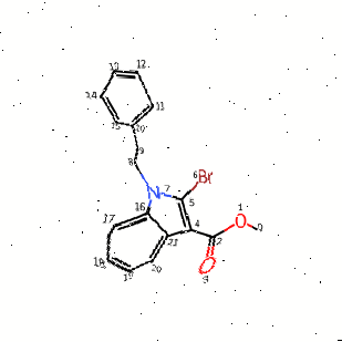 COC(=O)c1c(Br)n(CCc2ccccc2)c2ccccc12